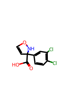 O=C(O)C1(c2ccc(Cl)c(Cl)c2)C=CON1